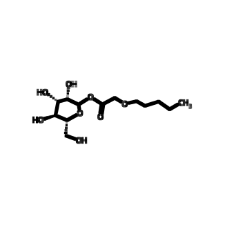 CCCCCOCC(=O)OC1O[C@H](CO)[C@@H](O)[C@H](O)[C@@H]1O